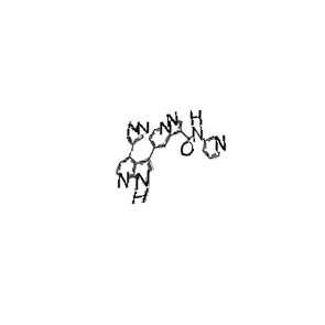 Cn1cc(-c2ccnc3[nH]cc(-c4ccn5ncc(C(=O)Nc6cccnc6)c5c4)c23)cn1